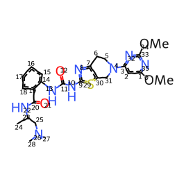 COc1cc(N2CCc3nc(NC(=O)Nc4ccccc4C(=O)NC(C)CN(C)C)sc3C2)nc(OC)n1